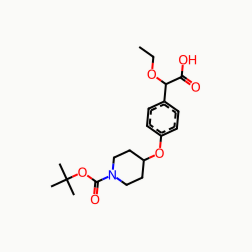 CCOC(C(=O)O)c1ccc(OC2CCN(C(=O)OC(C)(C)C)CC2)cc1